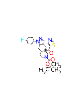 CC(C)(C)OC(=O)N1CCC2Cc3c(cnn3-c3ccc(F)cc3)C[C@]2(C(=O)c2cncs2)C1